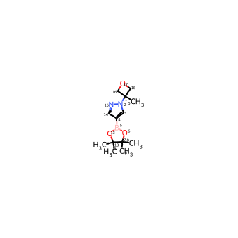 CC1(n2cc(B3OC(C)(C)C(C)(C)O3)cn2)COC1